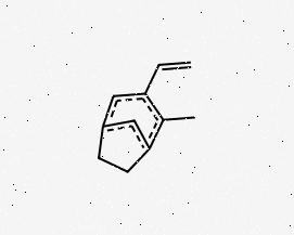 C=Cc1cc2cc(c1C)CC2